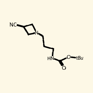 CC(C)(C)OC(=O)NCCCN1CC(C#N)C1